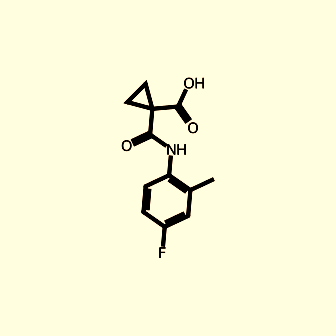 Cc1cc(F)ccc1NC(=O)C1(C(=O)O)CC1